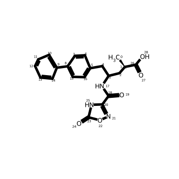 C[C@H](CC(Cc1ccc(-c2ccccc2)cc1)NC(=O)c1noc(=O)[nH]1)C(=O)O